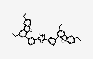 CCc1ccc2oc3c(-c4cccc(-c5nnc(-c6cccc(-c7cc(CC)cc8c7oc7ccc(CC)cc78)c6)o5)c4)cc(CC)cc3c2c1